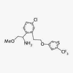 COCC(N)c1ccc(Cl)cc1CCOc1csc(C(F)(F)F)c1